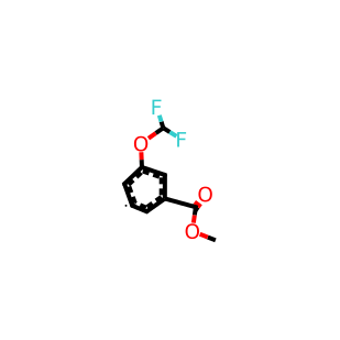 COC(=O)c1c[c]cc(OC(F)F)c1